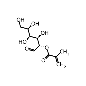 C=C(C)C(=O)O[C@H](C=O)[C@H](O)[C@@H](O)[C@H](O)CO